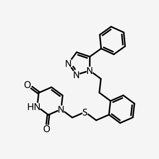 O=c1ccn(CSCc2ccccc2CCn2nncc2-c2ccccc2)c(=O)[nH]1